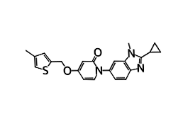 Cc1csc(COc2ccn(-c3ccc4nc(C5CC5)n(C)c4c3)c(=O)c2)c1